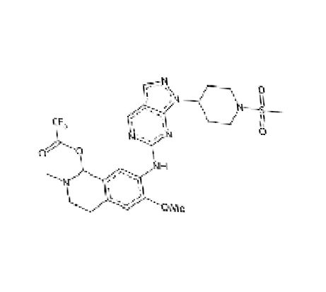 COc1cc2c(cc1Nc1ncc3cnn(C4CCN(S(C)(=O)=O)CC4)c3n1)C(OC(=O)C(F)(F)F)N(C)CC2